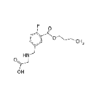 CCCCOC(=O)c1cc(CNCC(=O)O)ccc1F